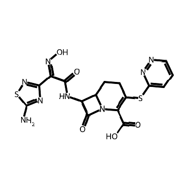 Nc1nc(/C(=N/O)C(=O)NC2C(=O)N3C(C(=O)O)=C(Sc4cccnn4)CCC23)ns1